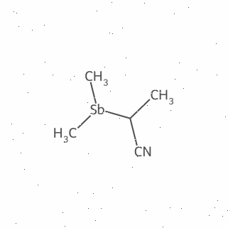 C[CH](C#N)[Sb]([CH3])[CH3]